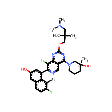 CCc1c(F)ccc2cc(O)cc(-c3ncc4c(N5CCC[C@@](C)(O)C5)nc(OCC(C)(C)CN(C)C)nc4c3F)c12